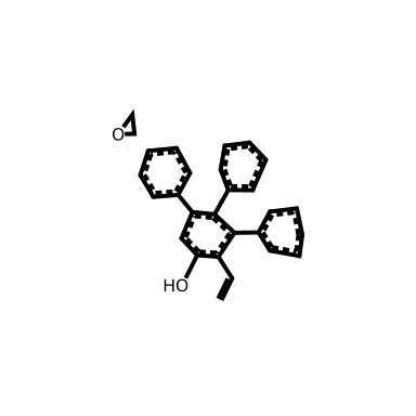 C1CO1.C=Cc1c(O)cc(-c2ccccc2)c(-c2ccccc2)c1-c1ccccc1